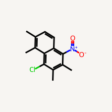 Cc1ccc2c([N+](=O)[O-])c(C)c(C)c(Cl)c2c1C